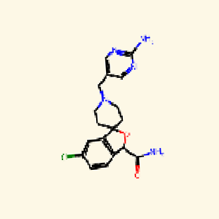 NC(=O)C1OC2(CCN(Cc3cnc(N)nc3)CC2)c2cc(Cl)ccc21